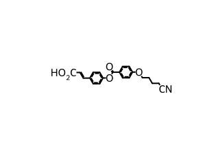 N#CCCCCOc1ccc(C(=O)Oc2ccc(C=CC(=O)O)cc2)cc1